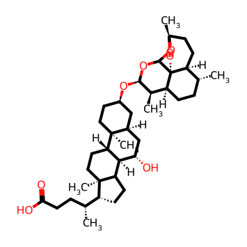 C[C@H]1[C@@H](O[C@@H]2CC[C@@]3(C)[C@@H](C2)C[C@H](O)[C@H]2C4CC[C@H]([C@H](C)CCC(=O)O)[C@@]4(C)CC[C@@H]23)OC2O[C@@]3(C)CC[C@H]4[C@H](C)CC[C@@H]1[C@@]24OO3